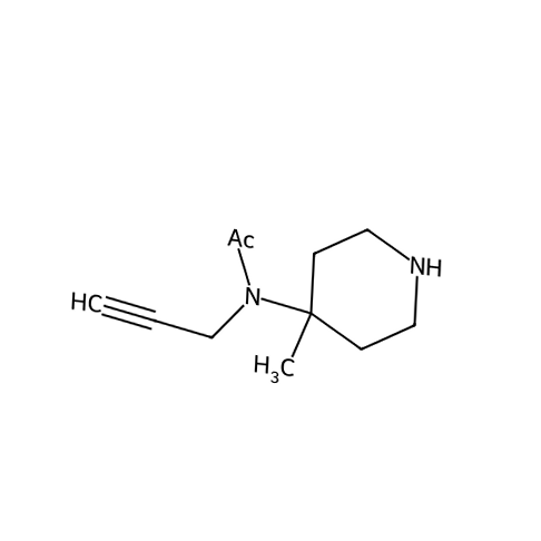 C#CCN(C(C)=O)C1(C)CCNCC1